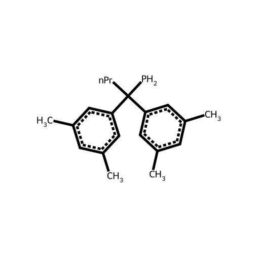 CCCC(P)(c1cc(C)cc(C)c1)c1cc(C)cc(C)c1